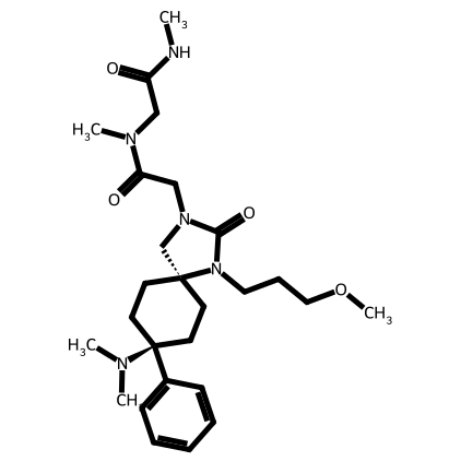 CNC(=O)CN(C)C(=O)CN1C[C@]2(CC[C@](c3ccccc3)(N(C)C)CC2)N(CCCOC)C1=O